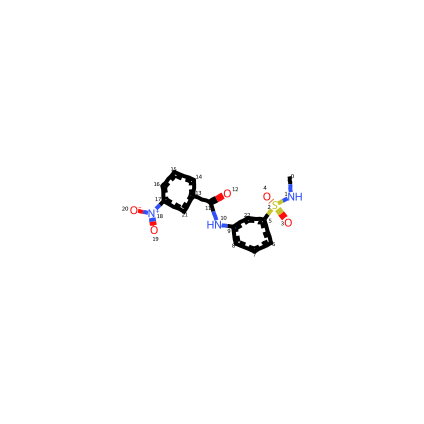 CNS(=O)(=O)c1cccc(NC(=O)c2cc[c]c([N+](=O)[O-])c2)c1